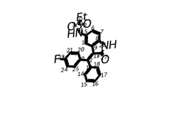 CCS(=O)(=O)Nc1ccc2c(c1)/C(=C(/c1ccccc1)c1ccc(F)cc1)C(=O)N2